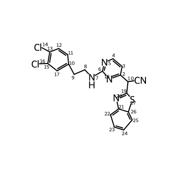 N#CC(c1ccnc(NCCc2ccc(Cl)c(Cl)c2)n1)c1nc2ccccc2s1